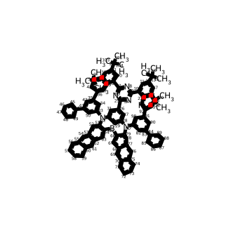 CC(C)(C)c1cc(-c2nc(-c3cc(C(C)(C)C)cc(C(C)(C)C)c3)nc(-c3cc4c5c(c3)N(c3cc(-c6ccccc6)cc(-c6ccccc6)c3)c3cc6cc7ccccc7cc6cc3B5c3cc5cc6ccccc6cc5cc3N4c3cc(-c4ccccc4)cc(-c4ccccc4)c3)n2)cc(C(C)(C)C)c1